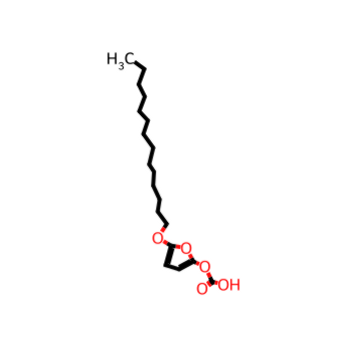 CCCCCCCCCCCCCCOc1ccc(OC(=O)O)o1